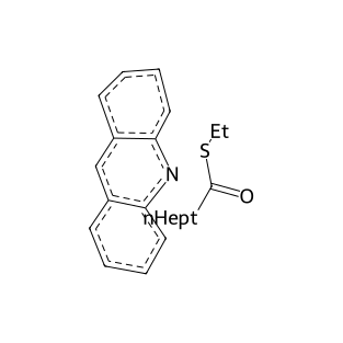 CCCCCCCC(=O)SCC.c1ccc2nc3ccccc3cc2c1